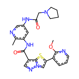 COc1ncccc1-c1cn2ncc(C(=O)Nc3cc(NC(=O)CN4CCCC4)cnc3C)c2s1